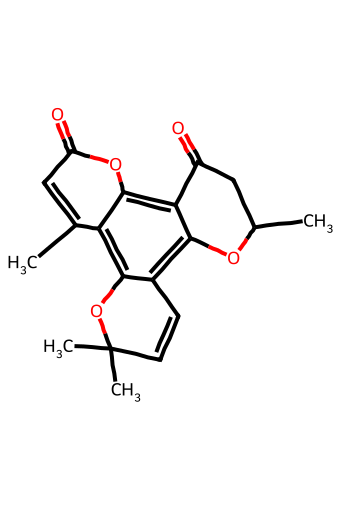 Cc1cc(=O)oc2c3c(c4c(c12)OC(C)(C)C=C4)OC(C)CC3=O